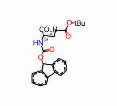 CC(C)(C)OC(=O)CC[C@H](NC(=O)OC1c2ccccc2-c2ccccc21)C(=O)O